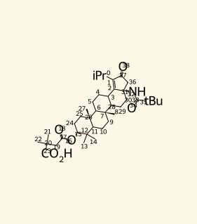 CC(C)C1=C2C3CCC4[C@@](C)(CCC5C(C)(C)[C@@H](OC(=O)CC(C)(C)C(=O)O)CC[C@@]54C)C3CC[C@@]2(NC(=O)C(C)(C)C)CC1=O